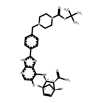 CC(C)(C)OC(=O)N1CCN(Cc2ccc(-c3nc4c(N[C@H]5[C@@H](C(N)=O)[C@@H]6C=C[C@H]5C6)c(Cl)cnc4[nH]3)cc2)CC1